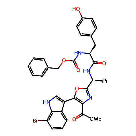 COC(=O)c1nc([C@@H](NC(=O)[C@H](Cc2ccc(O)cc2)NC(=O)OCc2ccccc2)C(C)C)oc1-c1c[nH]c2c(Br)cccc12